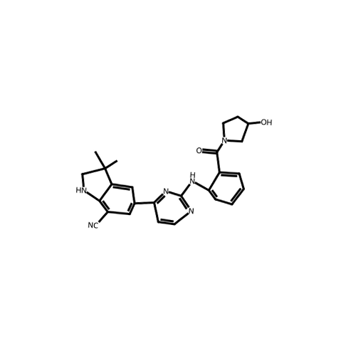 CC1(C)CNc2c(C#N)cc(-c3ccnc(Nc4ccccc4C(=O)N4CCC(O)C4)n3)cc21